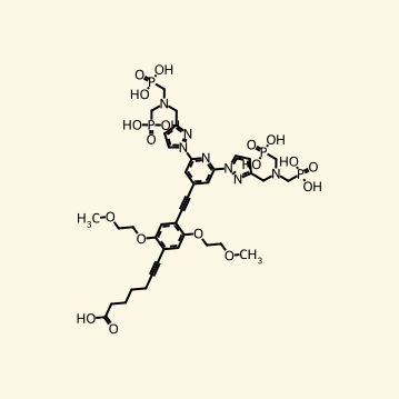 COCCOc1cc(C#Cc2cc(-n3ccc(CN(CP(=O)(O)O)CP(=O)(O)O)n3)nc(-n3ccc(CN(CP(=O)(O)O)CP(=O)(O)O)n3)c2)c(OCCOC)cc1C#CCCCCC(=O)O